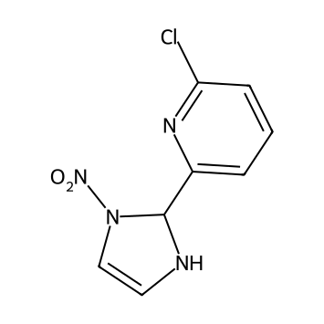 O=[N+]([O-])N1C=CNC1c1cccc(Cl)n1